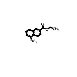 CCOC(=O)c1ccc2c(N)cccc2c1